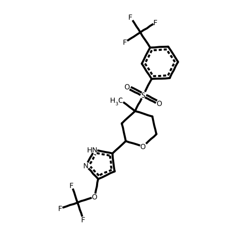 CC1(S(=O)(=O)c2cccc(C(F)(F)F)c2)CCOC(c2cc(OC(F)(F)F)n[nH]2)C1